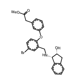 COC(=O)Cc1cccc(Oc2ccc(Br)cc2CN[C@H]2c3ccccc3C[C@H]2O)c1